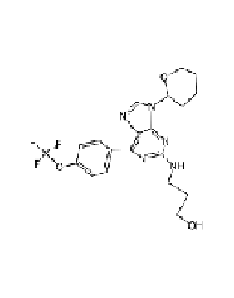 OCCCNc1nc(-c2ccc(OC(F)(F)F)cc2)c2ncn(C3CCCCO3)c2n1